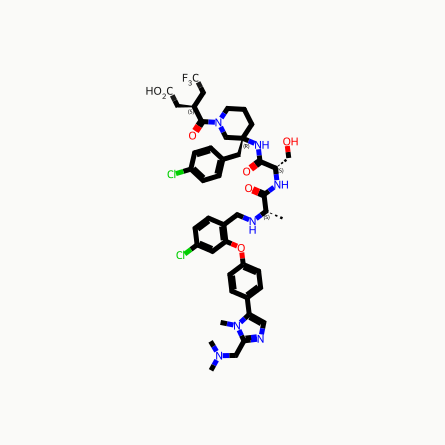 C[C@H](NCc1ccc(Cl)cc1Oc1ccc(-c2cnc(CN(C)C)n2C)cc1)C(=O)N[C@@H](CO)C(=O)N[C@@]1(Cc2ccc(Cl)cc2)CCCN(C(=O)[C@@H](CC(=O)O)CC(F)(F)F)C1